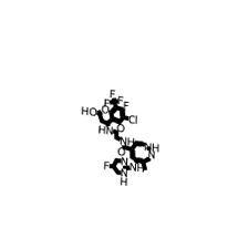 Cc1cn[nH]ccc(C(=O)NCC(=O)NC(CC(=O)O)c2cc(Cl)c(F)c(C(F)(F)F)c2)cc1NC1=NCC(F)CN1